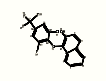 Oc1ccc2ccccc2c1Oc1c(F)cc(C(F)(F)F)cc1Cl